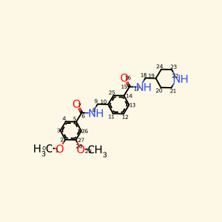 COc1ccc(C(=O)NCc2cccc(C(=O)NCC3CCNCC3)c2)cc1OC